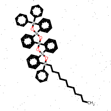 [CH2]CCCCCCCCCC[Si](O[Si](O[Si](O[Si](O[Si](c1ccccc1)(c1ccccc1)c1ccccc1)(c1ccccc1)c1ccccc1)(c1ccccc1)c1ccccc1)(c1ccccc1)c1ccccc1)(c1ccccc1)c1ccccc1